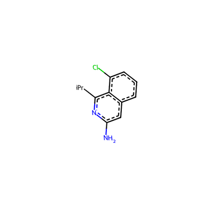 CC(C)c1nc(N)cc2cccc(Cl)c12